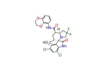 O=C(O)C1C[C@@H](C(=O)Nc2cccc3c2OCCO3)[C@H]2CC(F)(F)CN2[C@]12C(=O)Nc1c(Cl)cc(Cl)cc12